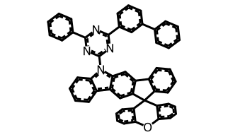 c1ccc(-c2cccc(-c3nc(-c4ccccc4)nc(-n4c5ccccc5c5cc6c(cc54)-c4ccccc4C64c5ccccc5Oc5ccccc54)n3)c2)cc1